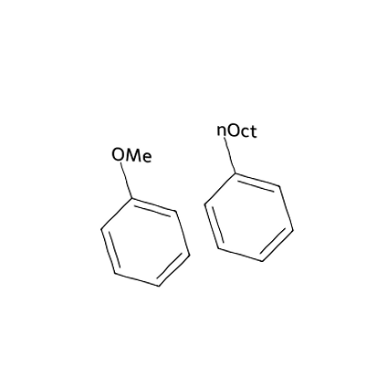 CCCCCCCCc1ccccc1.COc1ccccc1